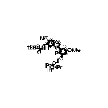 COc1cc(OCCO[Si](C(C)C)(C(C)C)C(C)C)c(F)c(C(CSC)=Nc2ccc(C#N)c(CNC(=O)OC(C)(C)C)c2)c1